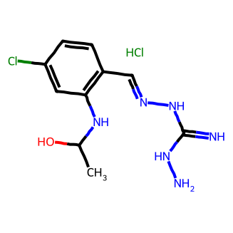 CC(O)Nc1cc(Cl)ccc1/C=N/NC(=N)NN.Cl